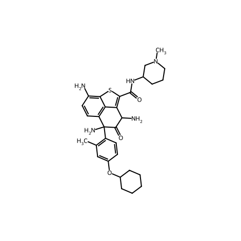 Cc1cc(OC2CCCCC2)ccc1C1(N)C(=O)C(N)c2c(C(=O)NC3CCCN(C)C3)sc3c(N)ccc1c23